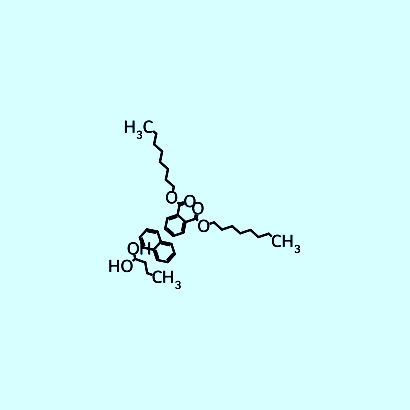 CCCC(O)O.CCCCCCCCOC(=O)c1ccccc1C(=O)OCCCCCCCC.c1ccc2ccccc2c1